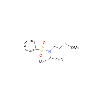 COCCCN(C(C=O)SC)S(=O)(=O)c1ccccc1